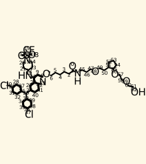 O=C(CCCCCOc1cc(NC2CCN(S(=O)(=O)C(F)(F)F)CC2)c2cc(C(c3ccc(Cl)cc3)c3ccc(Cl)cc3)ccc2n1)NCCCOCCC1CCCC1OCCOCCO